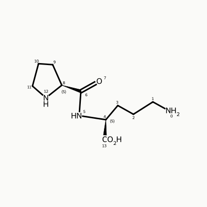 NCCC[C@H](NC(=O)[C@@H]1CCCN1)C(=O)O